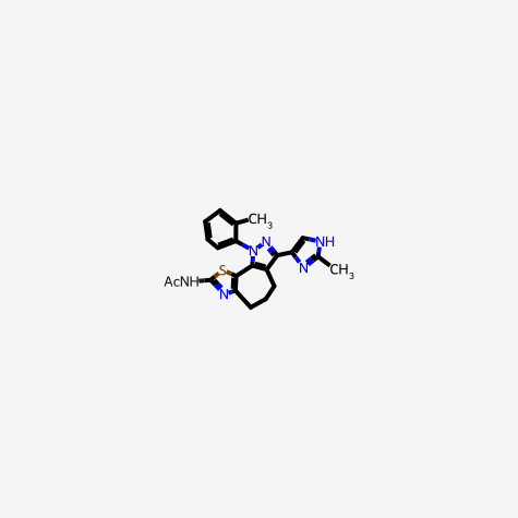 CC(=O)Nc1nc2c(s1)-c1c(c(-c3c[nH]c(C)n3)nn1-c1ccccc1C)CCC2